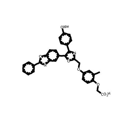 COc1ccc(-c2nc(COc3ccc(OCC(=O)O)c(C)c3)oc2-c2ccc3oc(-c4ccccc4)nc3c2)cc1